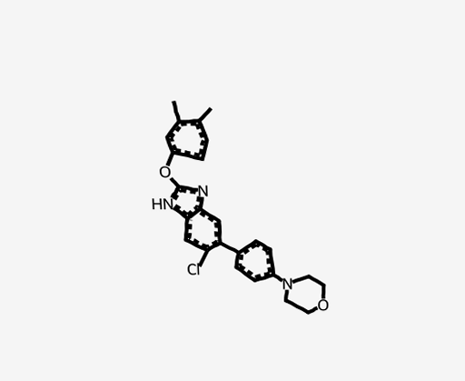 Cc1ccc(Oc2nc3cc(-c4ccc(N5CCOCC5)cc4)c(Cl)cc3[nH]2)cc1C